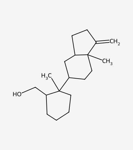 C=C1CCC2CC(C3(C)CCCCC3CO)CCC12C